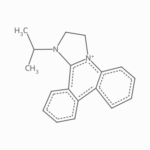 CC(C)N1CC[n+]2c1c1ccccc1c1ccccc12